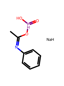 CC(=Nc1ccccc1)O[PH](=O)O.[NaH]